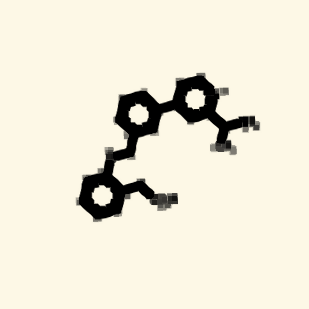 CC(N)c1cc(-c2cccc(COc3ccccc3CC(=O)O)c2)ccn1